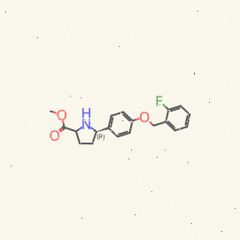 COC(=O)C1CC[C@H](c2ccc(OCc3ccccc3F)cc2)N1